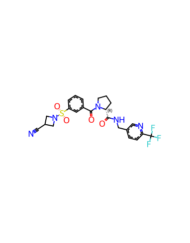 N#CC1CN(S(=O)(=O)c2cccc(C(=O)N3CCC[C@@H]3C(=O)NCc3ccc(C(F)(F)F)nc3)c2)C1